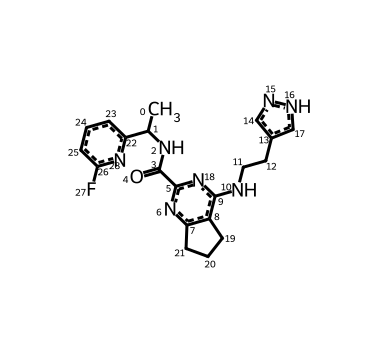 CC(NC(=O)c1nc2c(c(NCCc3cn[nH]c3)n1)CCC2)c1cccc(F)n1